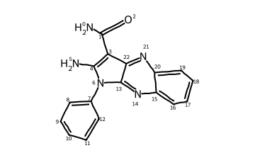 NC(=O)c1c(N)n(-c2ccccc2)c2nc3ccccc3nc12